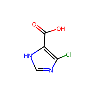 O=C(O)c1[nH]cnc1Cl